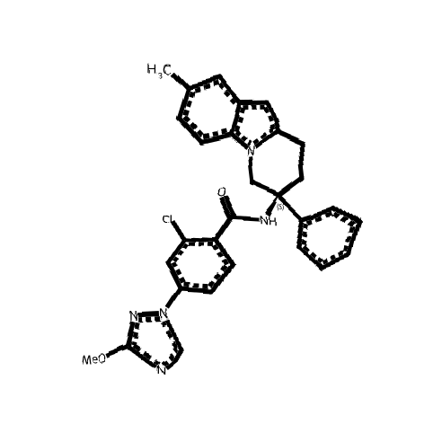 COc1ncn(-c2ccc(C(=O)N[C@]3(c4ccccc4)CCc4cc5cc(C)ccc5n4C3)c(Cl)c2)n1